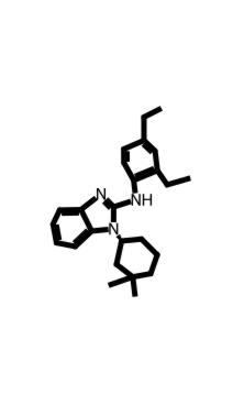 CCc1ccc(Nc2nc3ccccc3n2[C@H]2CCCC(C)(C)C2)c(CC)c1